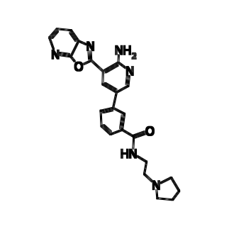 Nc1ncc(-c2cccc(C(=O)NCCN3CCCC3)c2)cc1-c1nc2cccnc2o1